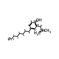 CC(C)CCCCCCc1ccc(O)c(CN(C)C)c1